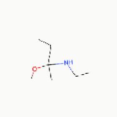 CCNC(C)(CC)OC